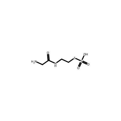 NCC(=O)NCCSS(=O)(=O)O